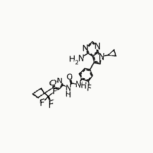 Nc1ncnc2c1c(-c1ccc(NC(=O)Nc3cc(C4(C(F)(F)F)CCC4)on3)c(F)c1)cn2C1CC1